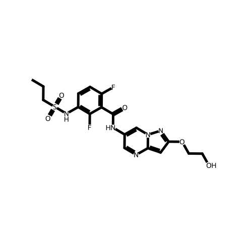 CCCS(=O)(=O)Nc1ccc(F)c(C(=O)Nc2cnc3cc(OCCO)nn3c2)c1F